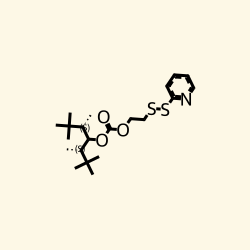 C[C@H](C(OC(=O)OCCSSc1ccccn1)[C@@H](C)C(C)(C)C)C(C)(C)C